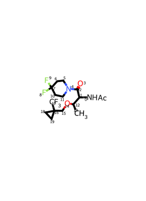 CC(=O)NC(C(=O)N1CCC(F)(F)CC1)C(C)OCC1(C(F)(F)F)CC1